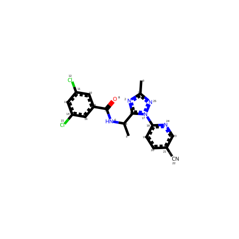 Cc1nc(C(C)NC(=O)c2cc(Cl)cc(Cl)c2)n(-c2ccc(C#N)cn2)n1